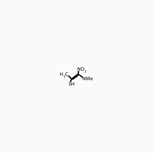 CNC(=C(C)S)[N+](=O)[O-]